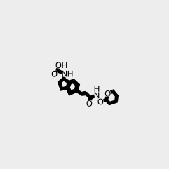 O=C(O)NC1CCc2cc(/C=C/C(=O)NOC3CCCCO3)ccc21